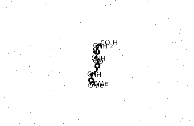 COc1ccc(C(=O)NCCc2ccc(S(=O)(=O)NC(=O)c3ccc(C(=O)NCC(=O)O)nc3)cc2)cc1OC